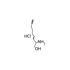 C#CCCCC=CC(N)CO.Cl